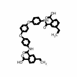 C=Cc1ccc(C(=O)O)c(C(=O)Nc2ccc(Oc3ccc(Oc4ccc(NC(=O)c5cc(C=C)ccc5C(=O)O)cc4)cc3)cc2)c1